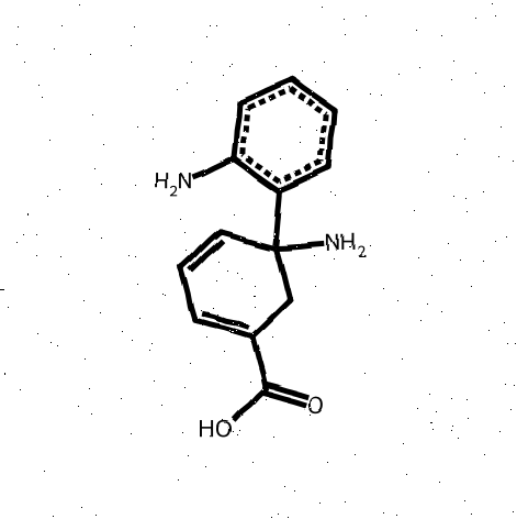 Nc1ccccc1C1(N)C=CC=C(C(=O)O)C1